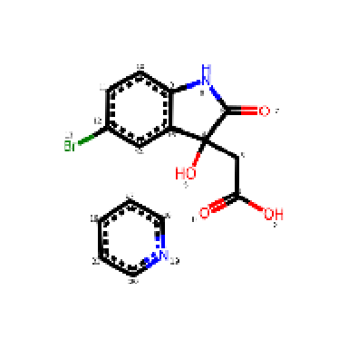 O=C(O)CC1(O)C(=O)Nc2ccc(Br)cc21.c1ccncc1